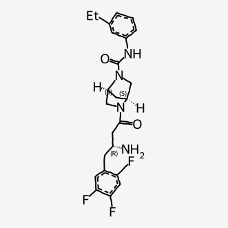 CCc1cccc(NC(=O)N2C[C@@H]3C[C@H]2CN3C(=O)C[C@H](N)Cc2cc(F)c(F)cc2F)c1